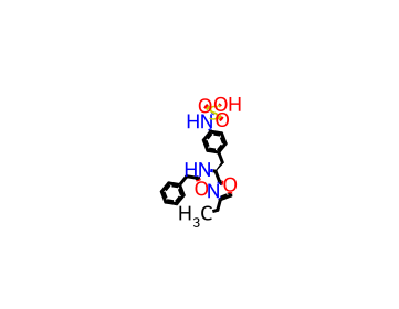 CCc1coc([C@H](Cc2ccc(NS(=O)(=O)O)cc2)NC(=O)Cc2ccccc2)n1